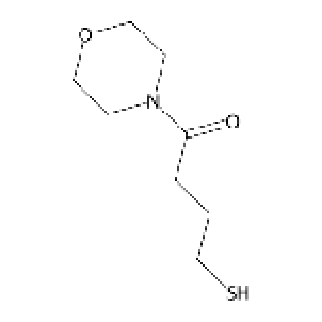 O=C(CCCS)N1CCOCC1